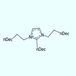 CCCCCCCCCCCCn1cc[n+](CCCCCCCCCCCC)c1CCCCCCCCCC